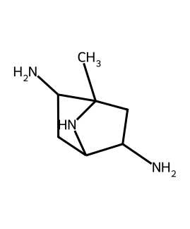 CC12CC(N)C(CC1N)N2